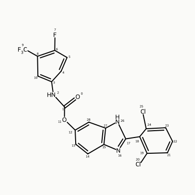 O=C(Nc1ccc(F)c(C(F)(F)F)c1)Oc1ccc2nc(-c3c(Cl)cccc3Cl)[nH]c2c1